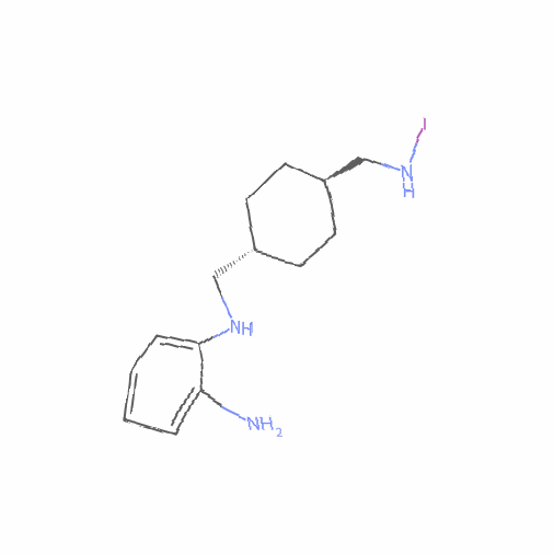 Nc1ccccc1NC[C@H]1CC[C@H](CNI)CC1